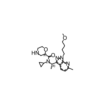 COCCCCn1nc([C@@H](C)N(C(=O)[C@H]2CNCCO2)C2CC2)c2ccc(C)nc21